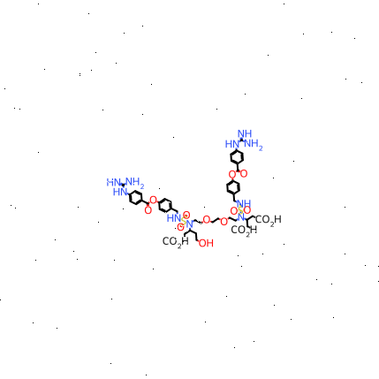 N=C(N)Nc1ccc(C(=O)Oc2ccc(CNS(=O)(=O)N(CCOCCOCCN(C(CC(=O)O)CC(=O)O)S(=O)(=O)NCc3ccc(OC(=O)c4ccc(NC(=N)N)cc4)cc3)C(CCO)CC(=O)O)cc2)cc1